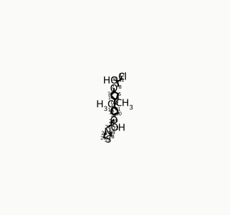 CC(C)(c1ccc(OC[C@@H](O)CCl)cc1)c1ccc(OC[C@H](O)CN2CCSCC2)cc1